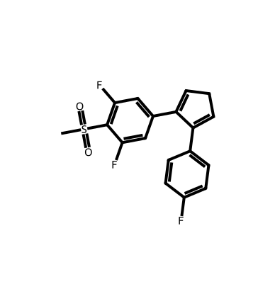 CS(=O)(=O)c1c(F)cc(C2=CCC=C2c2ccc(F)cc2)cc1F